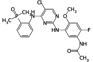 COc1cc(F)c(NC(C)=O)cc1Nc1ncc(Cl)c(Nc2ccccc2P(C)(C)=O)n1